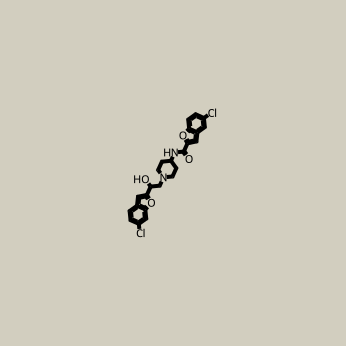 O=C(NC1CCN(CC(O)c2cc3ccc(Cl)cc3o2)CC1)c1cc2cc(Cl)ccc2o1